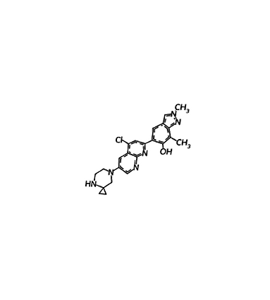 Cc1c(O)c(-c2cc(Cl)c3cc(N4CCNC5(CC5)C4)cnc3n2)cc2cn(C)nc12